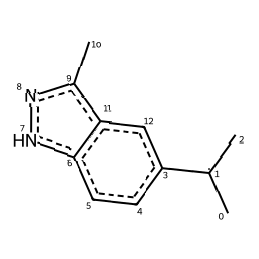 C[C](C)c1ccc2[nH]nc(C)c2c1